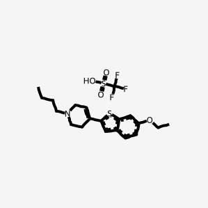 CCCCN1CC=C(c2cc3ccc(OCC)cc3s2)CC1.O=S(=O)(O)C(F)(F)F